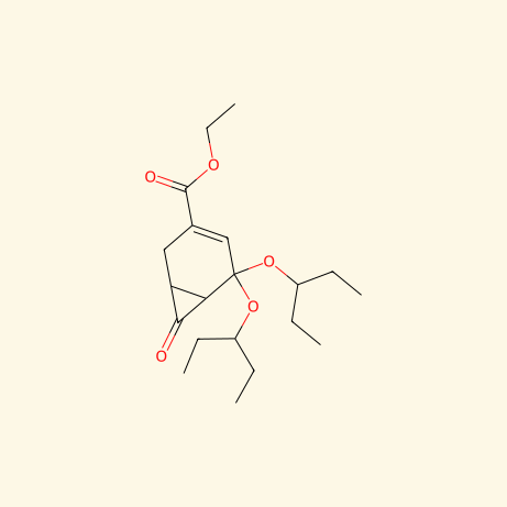 CCOC(=O)C1=CC(OC(CC)CC)(OC(CC)CC)C2C(=O)C2C1